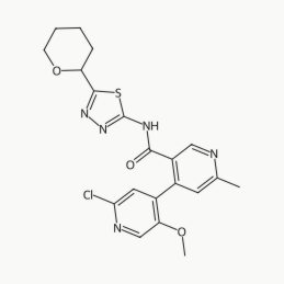 COc1cnc(Cl)cc1-c1cc(C)ncc1C(=O)Nc1nnc(C2CCCCO2)s1